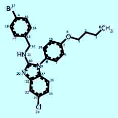 CCCCOc1ccc(-n2c(NCc3ccc(Br)cc3)nc3cc(Cl)ccc32)cc1